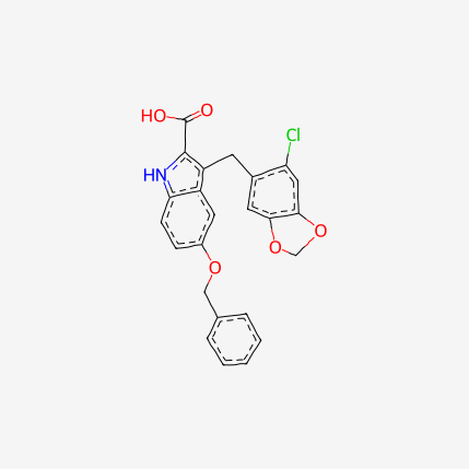 O=C(O)c1[nH]c2ccc(OCc3ccccc3)cc2c1Cc1cc2c(cc1Cl)OCO2